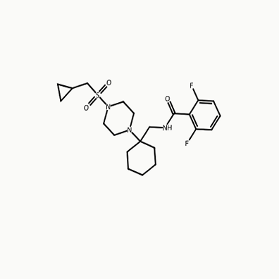 O=C(NCC1(N2CCN(S(=O)(=O)CC3CC3)CC2)CCCCC1)c1c(F)cccc1F